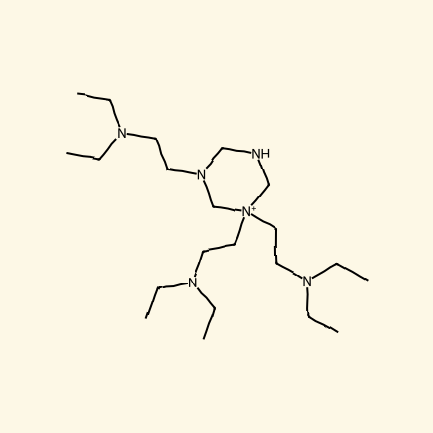 CCN(CC)CCN1CNC[N+](CCN(CC)CC)(CCN(CC)CC)C1